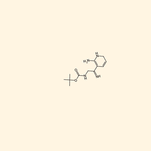 CC(C)(C)OC(=O)NCC(=N)C1=C(N)NCC=C1